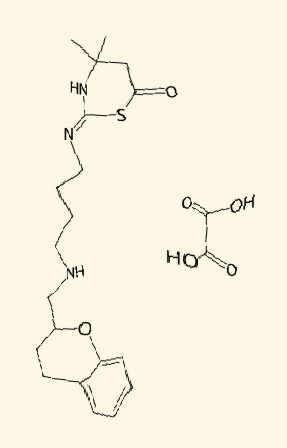 CC1(C)CC(=O)SC(=NCCCCNCC2CCc3ccccc3O2)N1.O=C(O)C(=O)O